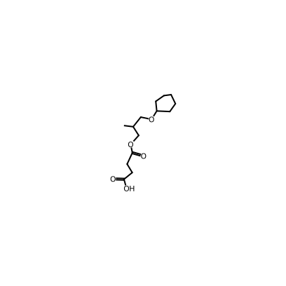 CC(COC(=O)CCC(=O)O)COC1CCCCC1